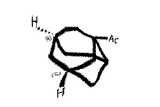 CC(=O)C12C[C@@H]3CC1C[C@@H](C3)C2